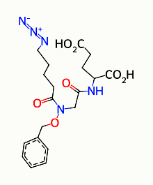 [N-]=[N+]=NCCCCC(=O)N(CC(=O)NC(CCC(=O)O)C(=O)O)OCc1ccccc1